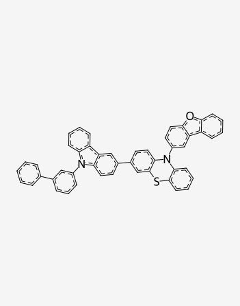 c1ccc(-c2cccc(-n3c4ccccc4c4cc(-c5ccc6c(c5)Sc5ccccc5N6c5ccc6oc7ccccc7c6c5)ccc43)c2)cc1